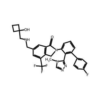 Cn1cnnc1-c1c(-c2ccc(F)cc2)cccc1N1Cc2c(cc(CNCC3(O)CCC3)cc2C(F)(F)F)C1=O